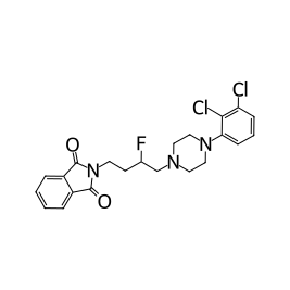 O=C1c2ccccc2C(=O)N1CCC(F)CN1CCN(c2cccc(Cl)c2Cl)CC1